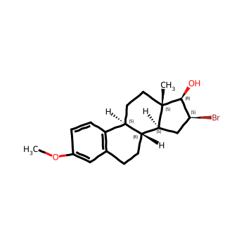 COc1ccc2c(c1)CC[C@@H]1[C@@H]2CC[C@]2(C)[C@@H](O)[C@@H](Br)C[C@@H]12